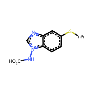 CCCSc1ccc2c(c1)ncn2NC(=O)O